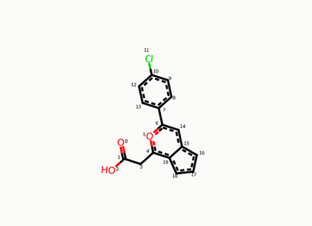 O=C(O)Cc1oc(-c2ccc(Cl)cc2)cc2cccc1-2